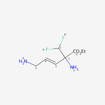 CCOC(=O)C(N)(/C=C/CN)C(F)F